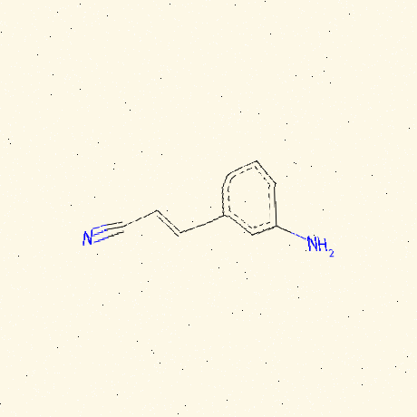 N#CC=Cc1cccc(N)c1